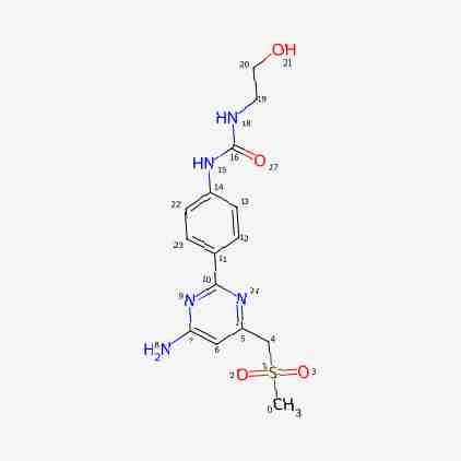 CS(=O)(=O)Cc1cc(N)nc(-c2ccc(NC(=O)NCCO)cc2)n1